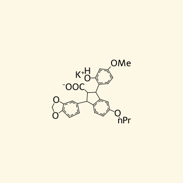 CCCOc1ccc2c(c1)C(c1ccc(OC)cc1O)C(C(=O)[O-])C2c1ccc2c(c1)OCO2.[K+]